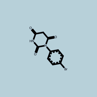 O=C1CC(=O)N(c2ccc(Br)cc2)C(=O)N1